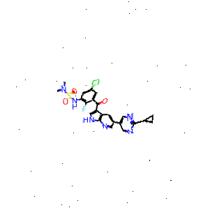 CN(C)S(=O)(=O)Nc1cc(Cl)cc(C(=O)c2c[nH]c3ncc(-c4cnc(C5CC5)nc4)cc23)c1F